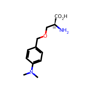 CN(C)c1ccc(COC[C@H](N)C(=O)O)cc1